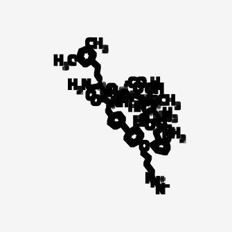 CCc1cc(OCCCCN=[N+]=[N-])ccc1-c1ccc(C[C@H](NC(=O)[C@H](CC(=O)O)NC(=O)[C@H](CO)NC(=O)[C@@H](NC(=O)[C@@](C)(N)Cc2ccccc2F)[C@@H](C)O)C(=O)N[C@@H](CCCc2cc(C)cc(C)c2)C(N)=O)cc1